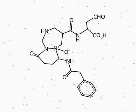 O=CCC(NC(=O)C1CNCN2C(=O)CCC(NC(=O)Cc3ccccc3)[N+]2([O-])C1)C(=O)O